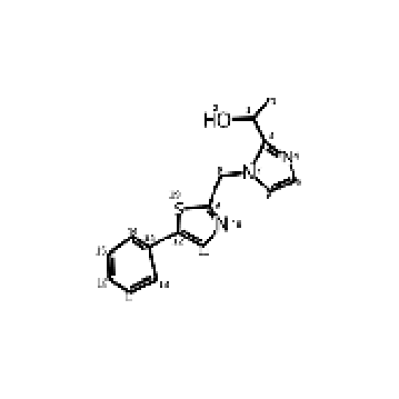 CC(O)c1nccn1Cc1ncc(-c2ccccc2)s1